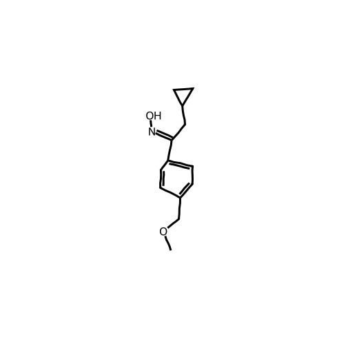 COCc1ccc(C(CC2CC2)=NO)cc1